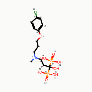 CN(CCCOc1ccc(Cl)cc1)CCC(O)(P(=O)(O)O)P(=O)(O)O